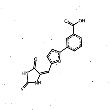 O=C1NC(=S)NC1=Cc1ccc(-c2cccc(C(=O)O)c2)o1